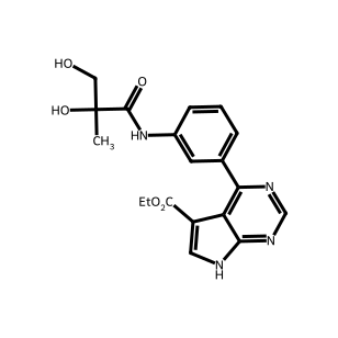 CCOC(=O)c1c[nH]c2ncnc(-c3cccc(NC(=O)C(C)(O)CO)c3)c12